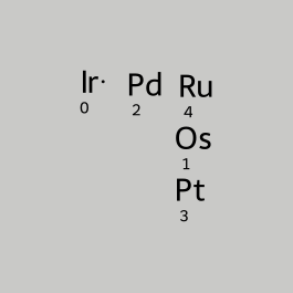 [Ir].[Os].[Pd].[Pt].[Ru]